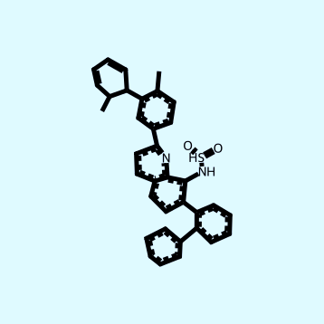 Cc1ccc(-c2ccc3ccc(-c4ccccc4-c4ccccc4)c(N[SH](=O)=O)c3n2)cc1C1C=CC=CC1C